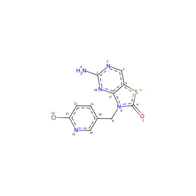 Nc1ncc2sc(=O)n(Cc3ccc(Cl)nc3)c2n1